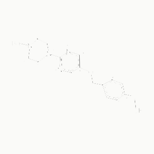 CC(C)(C)N1CCN(c2ncc(OCc3ccc(SC(F)(F)F)cc3)cn2)CC1